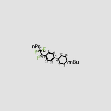 CCCC[C@H]1CC[C@H](c2ccc(C(F)C(F)(F)CCC)cc2)CC1